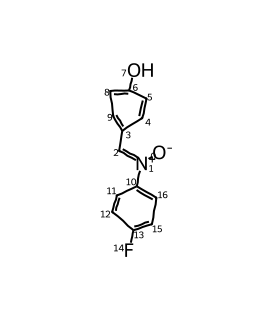 [O-]/[N+](=C\c1ccc(O)cc1)c1ccc(F)cc1